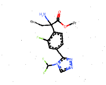 CC(C)OC(=O)C(N)(CC(C)(C)C)c1ccc(-c2nncn2C(F)F)cc1F